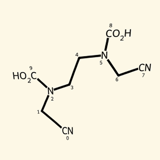 N#CCN(CCN(CC#N)C(=O)O)C(=O)O